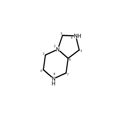 C1CN2CNCC2CN1